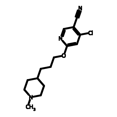 CN1CCC(CCCOc2cc(Cl)c(C#N)cn2)CC1